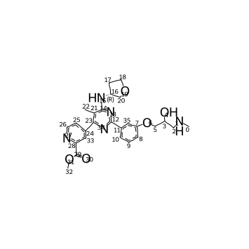 CNCC(O)COc1cccc(-c2nc(N[C@@H]3CCOC3)c(C)c(-c3ccnc(C(=O)OC)c3)n2)c1